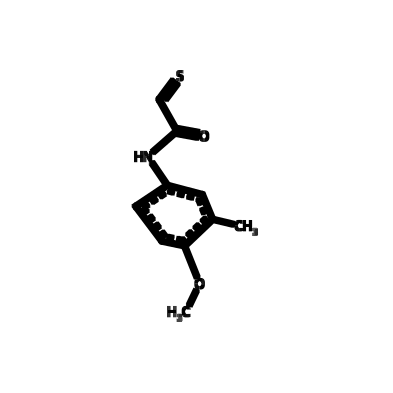 COc1ccc(NC(=O)C=S)cc1C